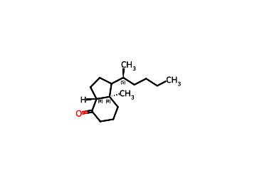 CCCC[C@H](C)C1CC[C@H]2C(=O)CCC[C@]12C